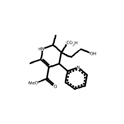 COC(=O)C1=C(C)NC(C)C(CCO)(C(=O)O)C1c1ccccn1